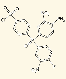 O=[N+]([O-])c1cc(P(=O)(c2ccc(S(=O)(=O)Cl)cc2)c2ccc(P)c([N+](=O)[O-])c2)ccc1F